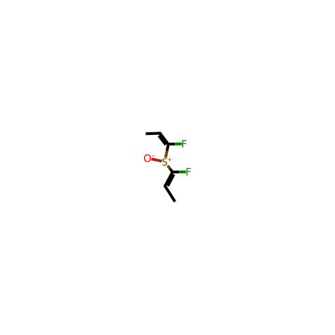 CC=C(F)[S+]([O-])C(F)=CC